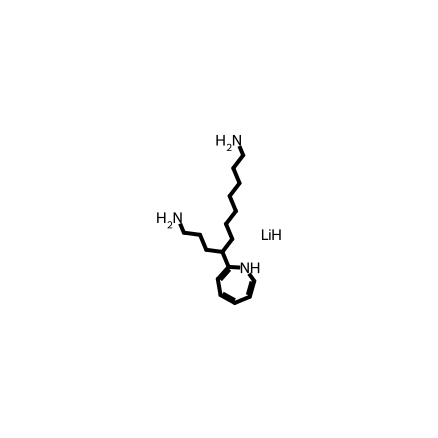 NCCCCCCCC(CCCN)C1=CC=CC=CN1.[LiH]